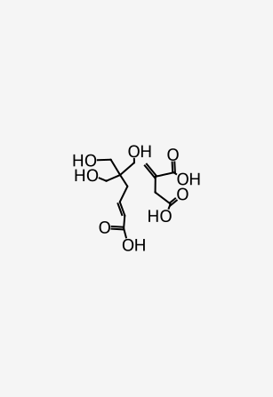 C=C(CC(=O)O)C(=O)O.O=C(O)C=CCC(CO)(CO)CO